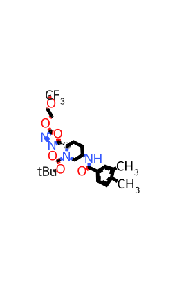 Cc1ccc(C(=O)NC2CC[C@@H](c3nnc(OCCOC(F)(F)F)o3)N(C(=O)OC(C)(C)C)C2)cc1C